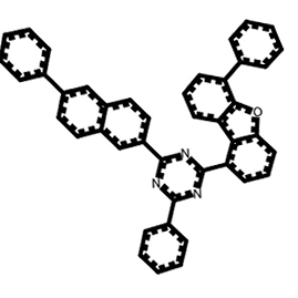 c1ccc(-c2ccc3cc(-c4nc(-c5ccccc5)nc(-c5cccc6oc7c(-c8ccccc8)cccc7c56)n4)ccc3c2)cc1